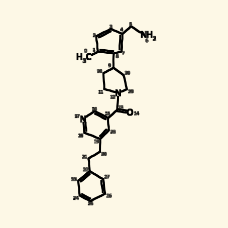 Cc1ccc(CN)cc1C1CCN(C(=O)c2cncc(CCc3ccccc3)c2)CC1